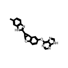 Cc1ccc2nc(C3C4Oc5ccc(Oc6ncnc7[nH]cnc67)cc5C43)[nH]c2c1